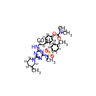 Cc1ccc(S(=O)(=O)N(C)c2nc(N[C@@H](Cc3ccc(OC(=O)N(C)C)cc3)C(=O)O)nc(N3CCCC(C)C3)n2)cc1